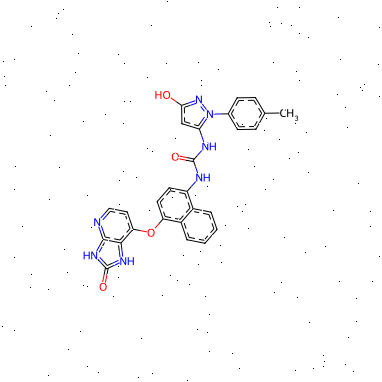 Cc1ccc(-n2nc(O)cc2NC(=O)Nc2ccc(Oc3ccnc4[nH]c(=O)[nH]c34)c3ccccc23)cc1